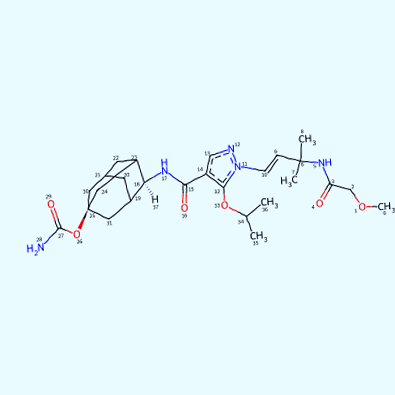 COCC(=O)NC(C)(C)/C=C/n1ncc(C(=O)N[C@H]2C3CC4CC2C[C@@](OC(N)=O)(C4)C3)c1OC(C)C